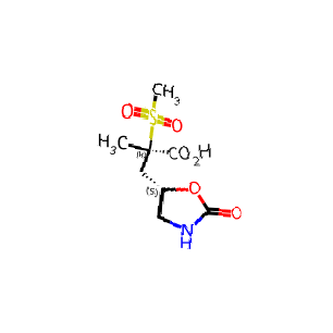 C[C@@](C[C@H]1CNC(=O)O1)(C(=O)O)S(C)(=O)=O